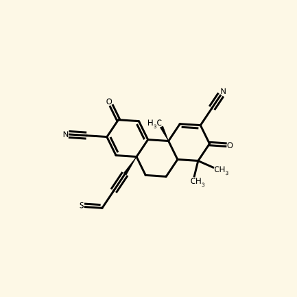 CC1(C)C(=O)C(C#N)=C[C@@]2(C)C3=CC(=O)C(C#N)=C[C@@]3(C#CC=S)CCC12